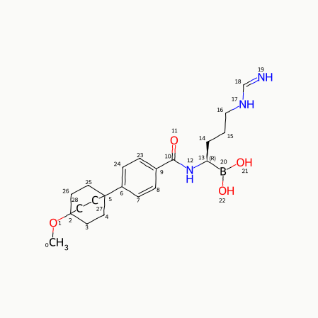 COC12CCC(c3ccc(C(=O)N[C@@H](CCCNC=N)B(O)O)cc3)(CC1)CC2